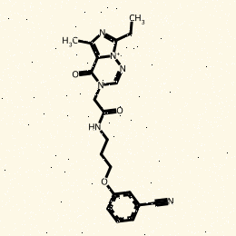 CCC1=NC(C)=C2C(=O)N(CC(=O)NCCCOc3cccc(C#N)c3)C=N[N+]12